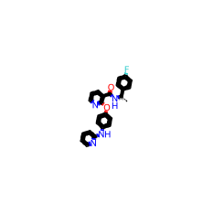 C[C@H](NC(=O)c1cccnc1Oc1ccc(Nc2ccccn2)cc1)c1ccc(F)cc1